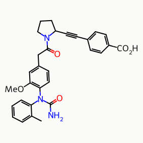 COc1cc(CC(=O)N2CCCC2C#Cc2ccc(C(=O)O)cc2)ccc1N(C(N)=O)c1ccccc1C